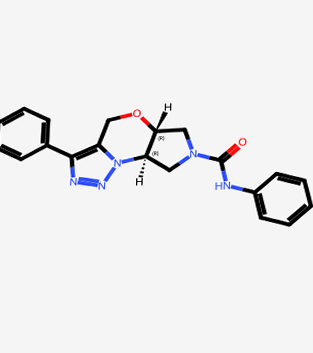 O=C(Nc1ccccc1)N1C[C@@H]2[C@@H](C1)OCc1c(-c3ccccc3)nnn12